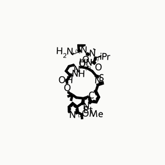 CCn1c(-c2cccnc2[C@H](C)OC)c2c3cc(ccc31)-c1csc(n1)C[C@H](NC(=O)[C@H](C(C)C)N(C)C(=O)N1CC[C@H]1CN)C(=O)N1CCC[C@H](N1)C(=O)OCC(C)(C)C2